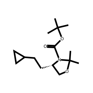 CC(C)(C)OC(=O)N1[C@@H](CCC2CC2)COC1(C)C